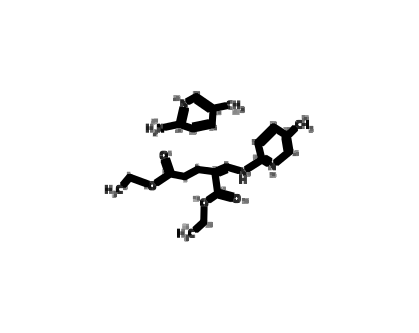 CCOC(=O)CCC(=CNc1ccc(C)cn1)C(=O)OCC.Cc1ccc(N)nc1